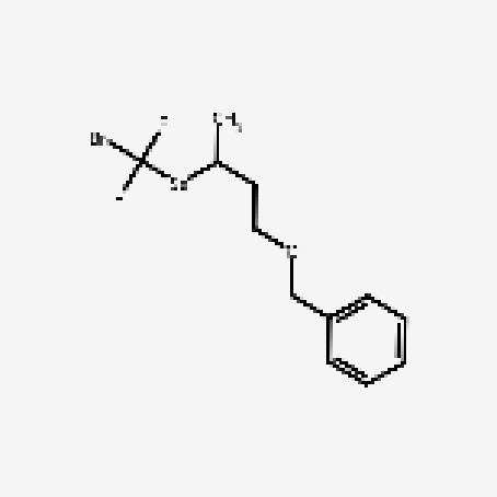 CC(CCOCc1ccccc1)[Se]C(F)(F)Br